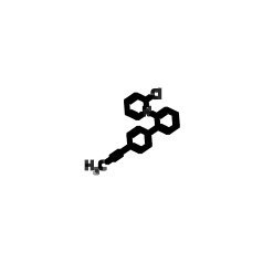 CC#Cc1ccc(-c2ccccc2N2C=CC=CC2Cl)cc1